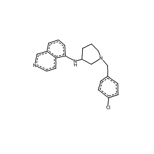 Clc1ccc(CN2CCCC(Nc3cccc4cnccc34)C2)cc1